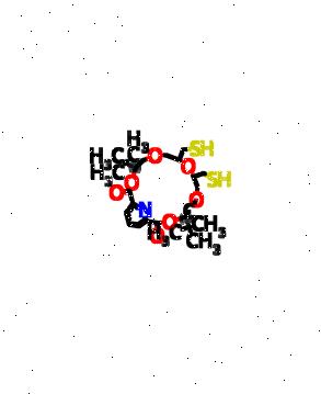 CC(C)(C)[C@H]1COCC(CS)OC(CS)COC[C@H](C(C)(C)C)OC(=O)c2cccc(n2)C(=O)O1